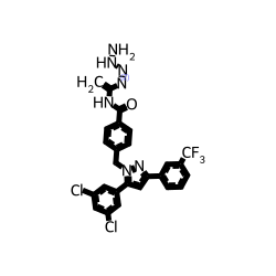 C=C(/N=N\NN)NC(=O)c1ccc(Cn2nc(-c3cccc(C(F)(F)F)c3)cc2-c2cc(Cl)cc(Cl)c2)cc1